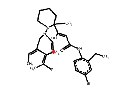 C/C=C(CN(C=O)N1CCCCC1(C)/C(O)=C/C(=O)Nc1ccc(Br)cc1CC)\C(C)=C(/C)F